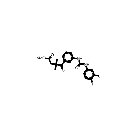 COC(=O)CC(C)(C)C(=O)c1cccc(NC(=O)Nc2ccc(F)c(Cl)c2)c1